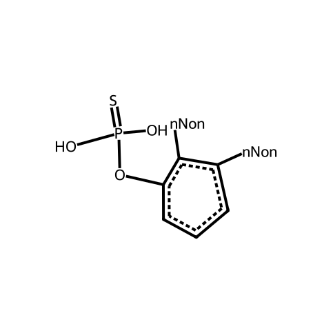 CCCCCCCCCc1cccc(OP(O)(O)=S)c1CCCCCCCCC